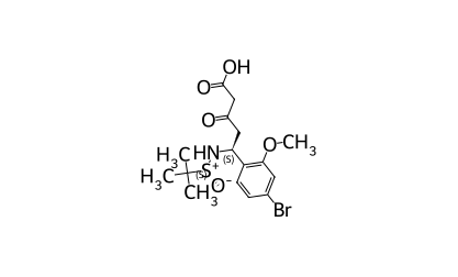 COc1cc(Br)ccc1[C@H](CC(=O)CC(=O)O)N[S@+]([O-])C(C)(C)C